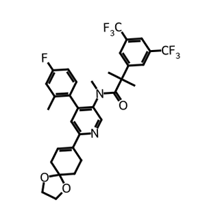 Cc1cc(F)ccc1-c1cc(C2=CCC3(CC2)OCCO3)ncc1N(C)C(=O)C(C)(C)c1cc(C(F)(F)F)cc(C(F)(F)F)c1